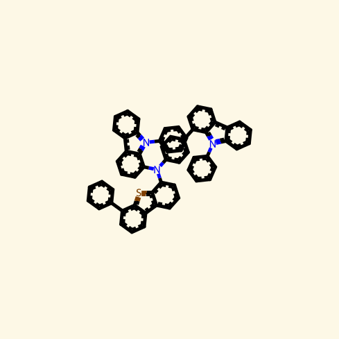 c1ccc(-c2cccc3c2sc2c(N(c4ccc(-c5cccc6c7ccccc7n(-c7ccccc7)c56)cc4)c4cccc5c6ccccc6n(-c6ccccc6)c45)cccc23)cc1